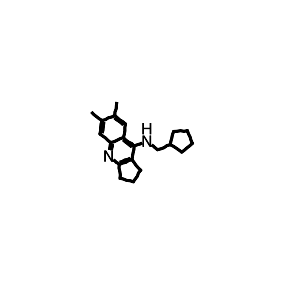 Cc1cc2nc3c(c(NCC4CCCC4)c2cc1C)CCC3